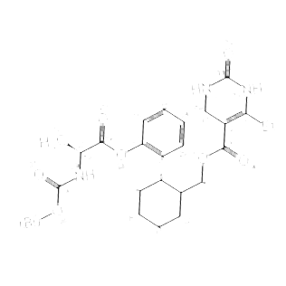 CCC1=C(C(=O)OCC2CCCCC2)[C@H](c2ccc(OC(=O)[C@H](C)NC(=O)OC(C)(C)C)cc2)NC(=O)N1